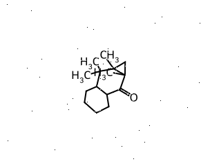 CC12CC1(C)C(C)(C)C1CCCCC1C2=O